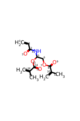 C=CC(=O)NC(COC(=O)C(=C)C)OC(=O)C(=C)C